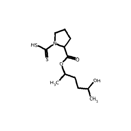 CC(O)CCC(C)OC(=O)C1CCCN1C(=S)S